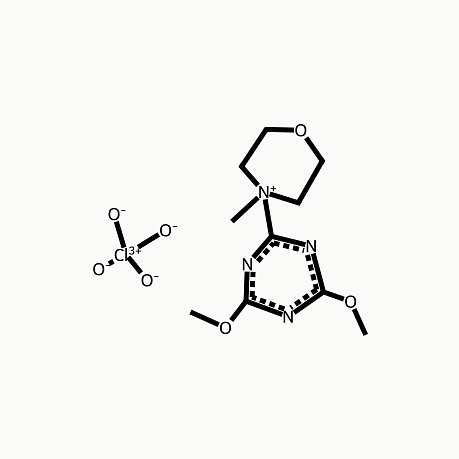 COc1nc(OC)nc([N+]2(C)CCOCC2)n1.[O-][Cl+3]([O-])([O-])[O-]